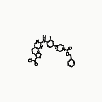 Cc1cc(N2CCN(C(=O)OCc3ccccc3)CC2)ccc1Nc1ncc2c(n1)-n1ccc(C(=O)Cl)c1CC2